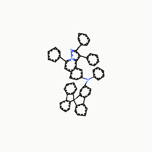 c1ccc(-c2nn3c(-c4ccccc4)cc4ccc(N(c5ccccc5)c5ccc6c(c5)C5(c7ccccc7-c7ccccc75)c5ccccc5-6)cc4c3c2-c2ccccc2)cc1